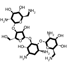 NC[C@H]1O[C@H](O[C@H]2[C@H](O[C@@H]3O[C@H](CO)[C@@H](O[C@H]4O[C@H](CN)[C@@H](O)[C@H](O)[C@H]4N)[C@H]3O)[C@@H](O)[C@H](N)C[C@@H]2N)[C@H](N)[C@@H](O)[C@@H]1O